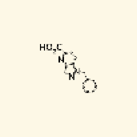 O=C(O)c1ccc2c(cnn2Cc2ccccc2)n1